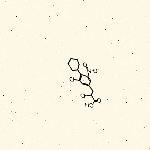 O=C(O)C(Cl)Cc1cc(Cl)c(C2CCCCC2)c([N+](=O)[O-])c1